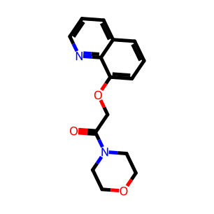 O=C(COc1cccc2cccnc12)N1CCOCC1